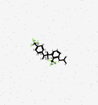 CC(C)Cc1cccc(C(C)(C)C(C)c2ccc(C(F)(F)F)cc2)c1C(F)(F)F